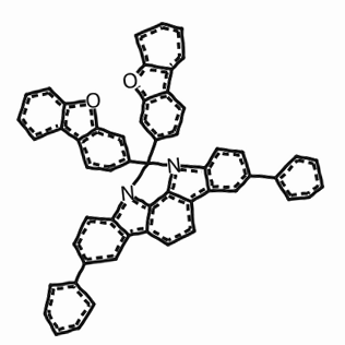 c1ccc(-c2ccc3c(c2)c2ccc4c5cc(-c6ccccc6)ccc5n5c4c2n3C5(c2ccc3c(c2)oc2ccccc23)c2ccc3c(c2)oc2ccccc23)cc1